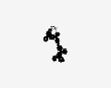 Cc1ccc2c(c1)c1cc(N(c3ccccc3)c3ccc(/C=C/c4ccc(N(c5ccccc5)c5ccc6c(c5)c5cc(CC(C)C)ccc5n6-c5ccccc5)cc4)cc3)ccc1n2-c1ccccc1